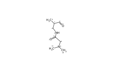 CC(C=O)CNC(=O)CN(C)C